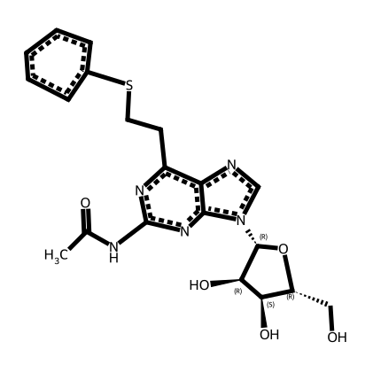 CC(=O)Nc1nc(CCSc2ccccc2)c2ncn([C@@H]3O[C@H](CO)[C@@H](O)[C@H]3O)c2n1